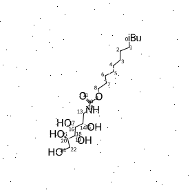 CCC(C)CCCCCCCCOC(=O)NC[C@H](O)[C@@H](O)[C@H](O)[C@H](O)CO